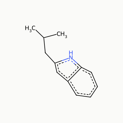 CC(C)Cc1cc2ccccc2[nH]1